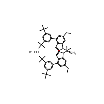 CCc1cc(-c2cc(C(C)(C)C)cc(C(C)(C)C)c2)c2c(c1)[CH]([Zr]([CH3])([CH3])(=[SiH2])[CH]1C(C)=Cc3c(-c4cc(C(C)(C)C)cc(C(C)(C)C)c4)cc(CC)cc31)C(C)=C2.Cl.Cl